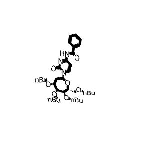 CCCCOC[C@H]1O[C@H](n2ccc(NC(=O)c3ccccc3)nc2=O)C[C@H](OCCCC)[C@H](OCCCC)[C@@H]1OCCCC